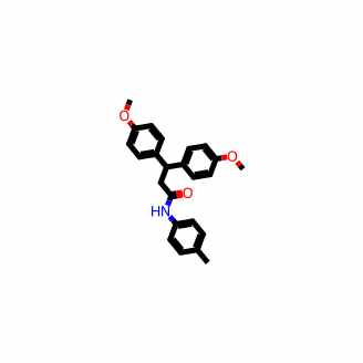 COc1ccc(C(CC(=O)Nc2ccc(C)cc2)c2ccc(OC)cc2)cc1